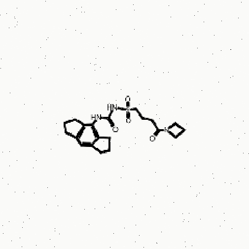 O=C(Nc1c2c(cc3c1CCC3)CCC2)NS(=O)(=O)CCCC(=O)N1CCC1